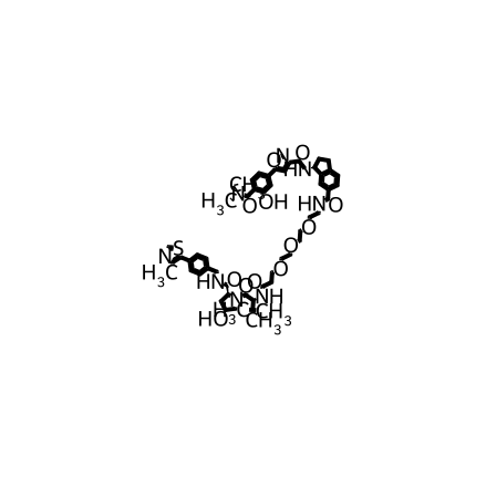 Cc1ncsc1-c1ccc(CNC(=O)[C@@H]2C[C@@H](O)CN2C(=O)[C@@H](NC(=O)CCOCCOCCOCCNC(=O)c2ccc3c(c2)[C@H](NC(=O)c2cc(-c4ccc(C(=O)N(C)C)c(O)c4)on2)CC3)C(C)(C)C)cc1